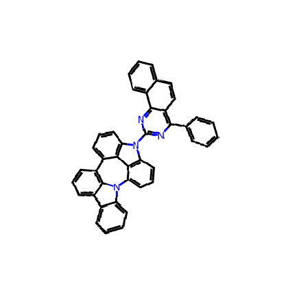 c1ccc(-c2nc(-n3c4cccc5c6cccc7c8ccccc8n(c8cccc3c8c54)c67)nc3c2ccc2ccccc23)cc1